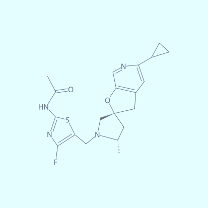 CC(=O)Nc1nc(F)c(CN2C[C@@]3(Cc4cc(C5CC5)ncc4O3)C[C@@H]2C)s1